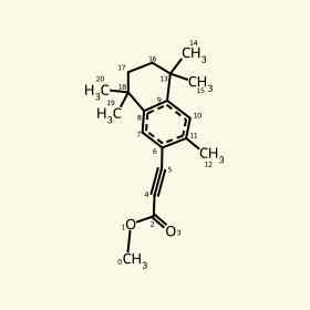 COC(=O)C#Cc1cc2c(cc1C)C(C)(C)CCC2(C)C